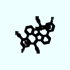 N#CC(C#N)=C1C2=C(C(=C(C#N)C#N)c3cccc(-c4ccc(F)cc4C#N)c32)c2c1cccc2-c1ccc(F)cc1C#N